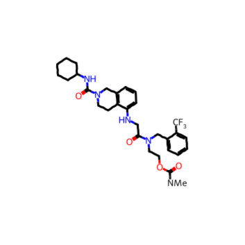 CNC(=O)OCCN(Cc1ccccc1C(F)(F)F)C(=O)CNc1cccc2c1CCN(C(=O)NC1CCCCC1)C2